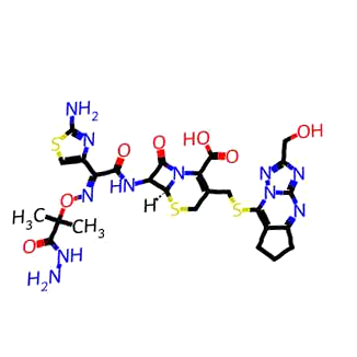 CC(C)(ON=C(C(=O)NC1C(=O)N2C(C(=O)O)=C(CSc3c4c(nc5nc(CO)nn35)CCC4)CS[C@@H]12)c1csc(N)n1)C(=O)NN